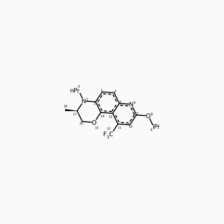 CCCN1c2ccc3nc(OC(C)C)cc(C(F)(F)F)c3c2OC[C@H]1C